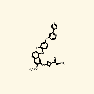 C=CC(=O)N1CC(Oc2cc3c(Nc4ccc(Oc5ccnc(-c6cncs6)c5)cc4F)ncnc3cc2OC)C1